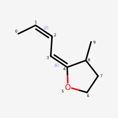 C/C=C\C=C1\OCCC1C